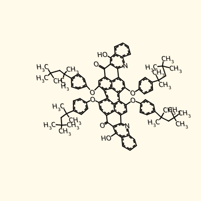 CC(C)(C)CC(C)(C)c1ccc(Oc2cc3c4c(cc(Oc5ccc(C(C)(C)CC(C)(C)C)cc5)c5c6c(Oc7ccc(C(C)(C)CC(C)(C)C)cc7)cc7c8c(cc(Oc9ccc(C(C)(C)CC(C)(C)C)cc9)c(c2c45)c86)C(=O)c2c-7nc4ccccc4c2O)-c2nc4ccccc4c(O)c2C3=O)cc1